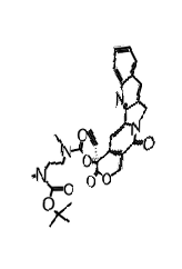 C#C[C@@]1(OC(=O)N(C)CCN(C)C(=O)OC(C)(C)C)C(=O)OCc2c1cc1n(c2=O)Cc2cc3ccccc3nc2-1